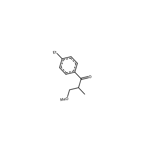 CCc1ccc(C(=O)C(C)COC)cc1